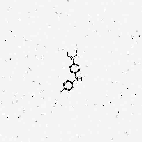 CCN(CC)c1ccc(Nc2ccc(C)cc2)cc1